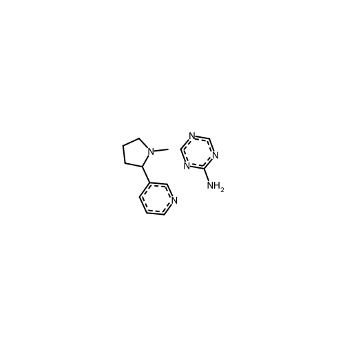 CN1CCCC1c1cccnc1.Nc1ncncn1